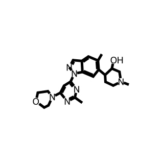 Cc1nc(N2CCOCC2)cc(-n2ncc3cc(C)c(C4CCN(C)CC4O)cc32)n1